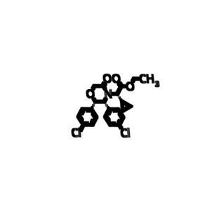 CCOC(=O)[C@H](C1CC1)N1C(=O)CO[C@@H](c2ccc(Cl)cc2)[C@H]1c1ccc(Cl)cc1